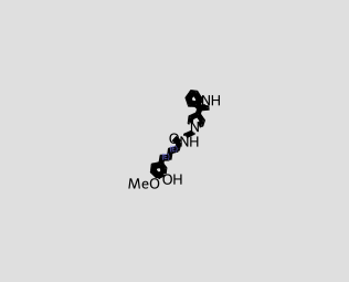 COc1ccc(/C=C/C=C/C(=O)NCCN2CCC(c3c[nH]c4ccccc34)CC2)cc1O